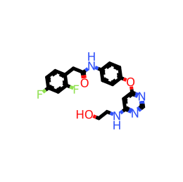 O=C(Cc1ccc(F)cc1F)Nc1ccc(Oc2cc(NCCO)ncn2)cc1